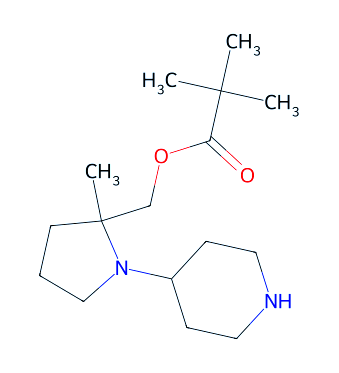 CC(C)(C)C(=O)OCC1(C)CCCN1C1CCNCC1